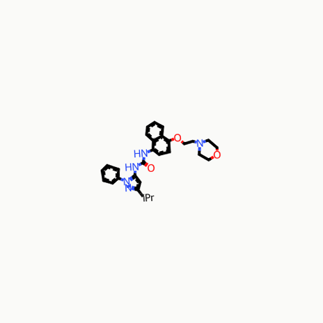 CC(C)c1cc(NC(=O)Nc2ccc(OCCN3CCOCC3)c3ccccc23)n(-c2ccccc2)n1